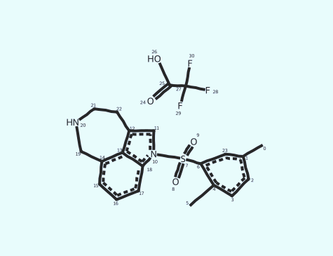 Cc1ccc(C)c(S(=O)(=O)n2cc3c4c(cccc42)CNCC3)c1.O=C(O)C(F)(F)F